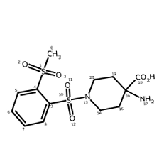 CS(=O)(=O)c1ccccc1S(=O)(=O)N1CCC(N)(C(=O)O)CC1